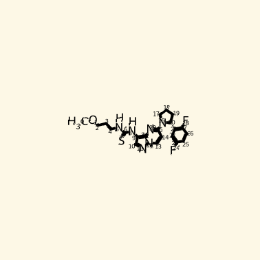 COCCCNC(=S)Nc1cnn2ccc(N3CCC[C@@H]3c3cc(F)ccc3F)nc12